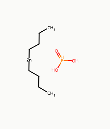 CCC[CH2][Zn][CH2]CCC.O=[PH](O)O